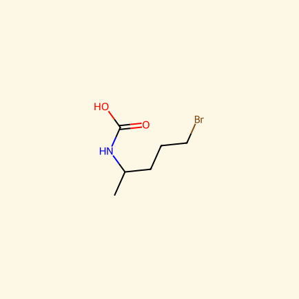 CC(CCCBr)NC(=O)O